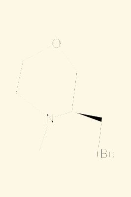 CN1CCOC[C@H]1CC(C)(C)C